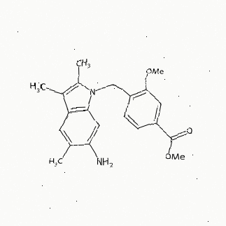 COC(=O)c1ccc(Cn2c(C)c(C)c3cc(C)c(N)cc32)c(OC)c1